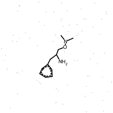 CN(C)OCC(N)Cc1ccccc1